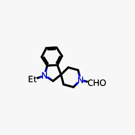 CCN1CC2(CCN(C=O)CC2)c2ccccc21